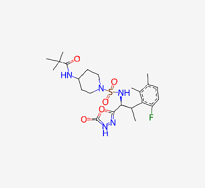 Cc1ccc(F)c(C(C)[C@H](NS(=O)(=O)N2CCC(NC(=O)C(C)(C)C)CC2)c2n[nH]c(=O)o2)c1C